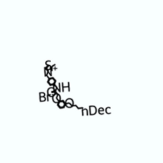 CCCCCCCCCCCCCCOc1cccc(OCC(=O)Nc2ccc(C[n+]3csc(C)c3)cc2)c1.[Br-]